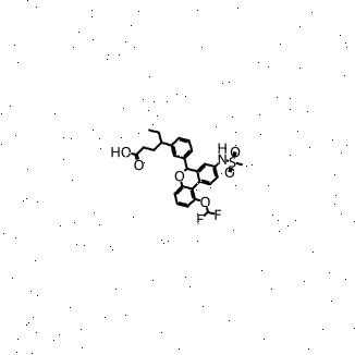 CCC(CCC(=O)O)c1cccc(C2Oc3cccc(OC(F)F)c3-c3ccc(NS(C)(=O)=O)cc32)c1